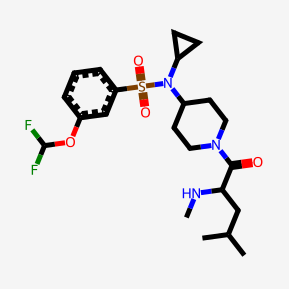 CNC(CC(C)C)C(=O)N1CCC(N(C2CC2)S(=O)(=O)c2cccc(OC(F)F)c2)CC1